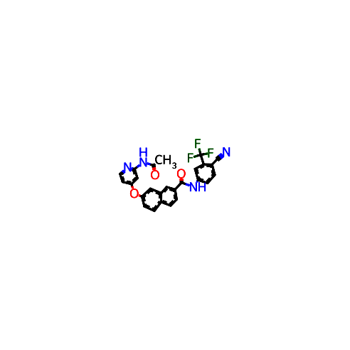 CC(=O)Nc1cc(Oc2ccc3ccc(C(=O)Nc4ccc(C#N)c(C(F)(F)F)c4)cc3c2)ccn1